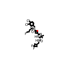 CC1(C)N=C(C23CC(N(Cc4ccc(Cl)c(Cl)c4)S(=O)(=O)CCCF)(C2)C3)N[C@H]1C(=O)NCC1CC(F)(F)C1